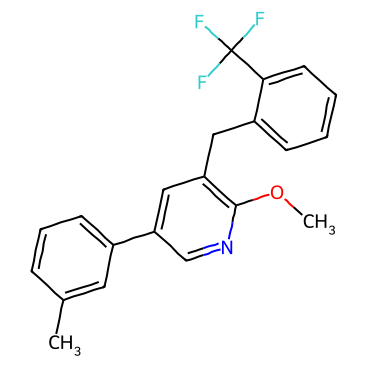 COc1ncc(-c2cccc(C)c2)cc1Cc1ccccc1C(F)(F)F